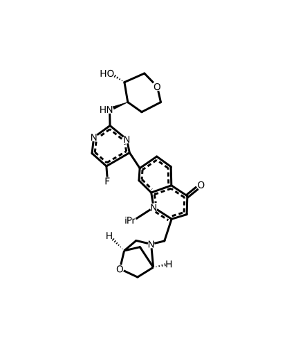 CC(C)n1c(CN2C[C@H]3C[C@@H]2CO3)cc(=O)c2ccc(-c3nc(N[C@@H]4CCOC[C@H]4O)ncc3F)cc21